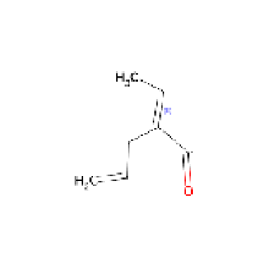 C=CC/C([C]=O)=C\C